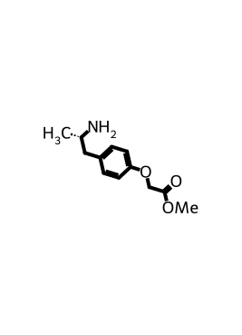 COC(=O)COc1ccc(C[C@H](C)N)cc1